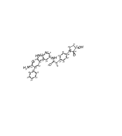 CC(C(=O)Nc1cnc2[nH]cc(C=C(C(N)=O)c3ccccc3)c2c1)c1ccc(N2CCC(O)C2=O)cc1